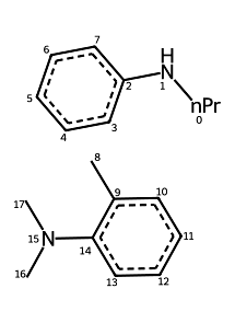 CCCNc1ccccc1.Cc1ccccc1N(C)C